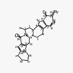 CC(CC1CCCc2c1sc1c(=O)n(C(C)C)ncc21)N1CCc2c(cc3n2CCCC3)C1=O